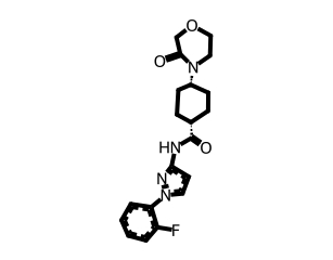 O=C1COCCN1[C@H]1CC[C@@H](C(=O)Nc2ccn(-c3ccccc3F)n2)CC1